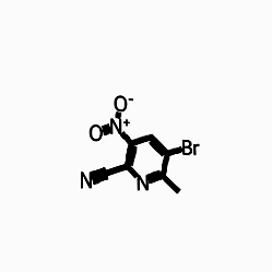 Cc1nc(C#N)c([N+](=O)[O-])cc1Br